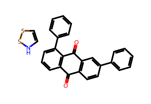 C1=CSSN1.O=C1c2ccc(-c3ccccc3)cc2C(=O)c2c1cccc2-c1ccccc1